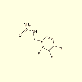 NC(=O)NCc1ccc(F)c(F)c1F